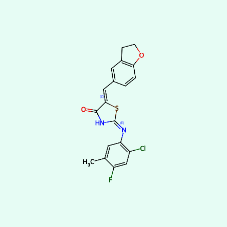 Cc1cc(/N=C2\NC(=O)/C(=C/c3ccc4c(c3)CCO4)S2)c(Cl)cc1F